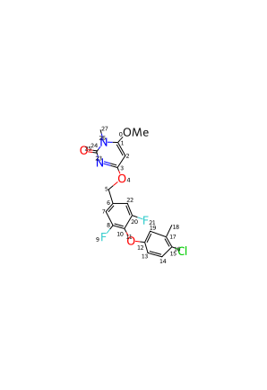 COc1cc(OCc2cc(F)c(Oc3ccc(Cl)c(C)c3)c(F)c2)nc(=O)n1C